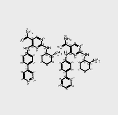 NC(=O)c1cnc(N[C@@H]2CCCC[C@@H]2N)nc1Nc1ccc(-c2ccnnc2)cc1.NC(=O)c1cnc(N[C@@H]2CCCC[C@@H]2N)nc1Nc1ccc(-c2cnccn2)cc1